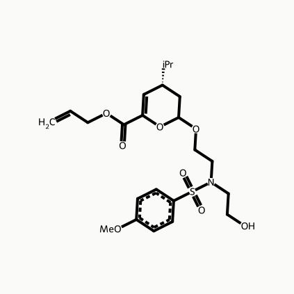 C=CCOC(=O)C1=C[C@H](C(C)C)CC(OCCN(CCO)S(=O)(=O)c2ccc(OC)cc2)O1